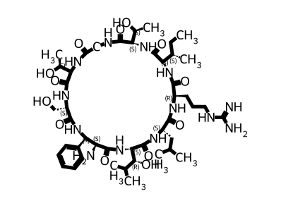 CC[C@H](C)[C@@H]1NC(=O)[C@@H](CCCNC(=N)N)NC(=O)[C@H](CC(C)C)NC(=O)[C@H]([C@H](O)C(C)C)NC(=O)[C@@H](N)[C@@H](c2ccccc2)NC(=O)[C@H](CO)NC(=O)C([C@H](C)O)NC(=O)CNC(=O)[C@H]([C@H](C)O)NC1=O